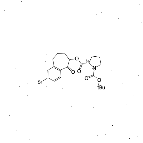 CC(C)(C)OC(=O)N1CCC[C@H]1C(=O)OC1CCCc2cc(Br)ccc2C1=O